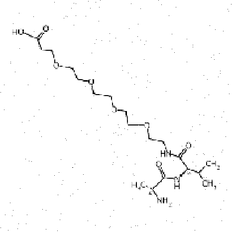 CC(C)[C@@H](NC(=O)[C@@H](C)N)C(=O)NCCOCCOCCOCCOCCC(=O)O